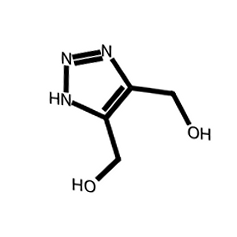 OCc1nn[nH]c1CO